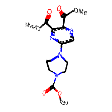 COC(=O)c1ncc(N2CCN(C(=O)OC(C)(C)C)CC2)nc1C(=O)OC